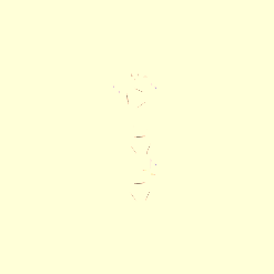 COc1c(N(C)C)cc(C2Oc3ccc(NS(=O)(=O)c4ccccc4)cc3O2)cc1N(C)C